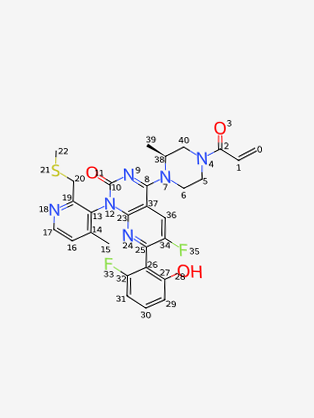 C=CC(=O)N1CCN(c2nc(=O)n(-c3c(C)ccnc3CSC)c3nc(-c4c(O)cccc4F)c(F)cc23)[C@@H](C)C1